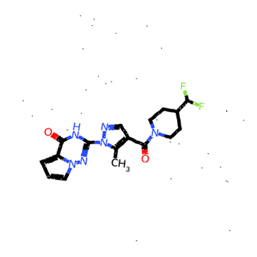 Cc1c(C(=O)N2CCC(C(F)F)CC2)cnn1-c1nn2cccc2c(=O)[nH]1